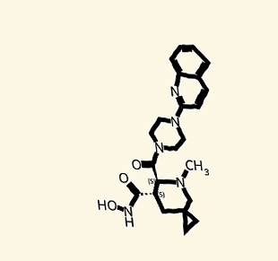 CN1CC2(CC2)C[C@H](C(=O)NO)[C@H]1C(=O)N1CCN(c2ccc3ccccc3n2)CC1